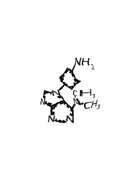 CN(C)c1ncnc2ncn(-c3ccc(N)cc3)c12